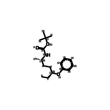 CC[C@@H](CC[C@H](C)NC(=O)OC(C)(C)C)Oc1ccccc1